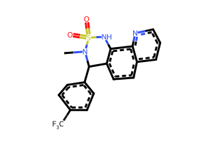 CN1C(c2ccc(C(F)(F)F)cc2)c2ccc3cccnc3c2NS1(=O)=O